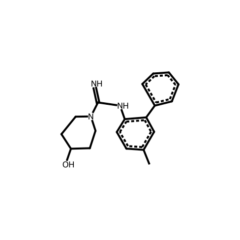 Cc1ccc(NC(=N)N2CCC(O)CC2)c(-c2ccccc2)c1